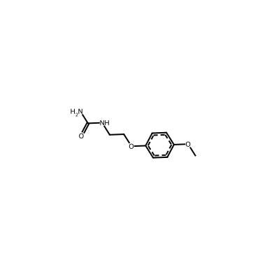 COc1ccc(OCCNC(N)=O)cc1